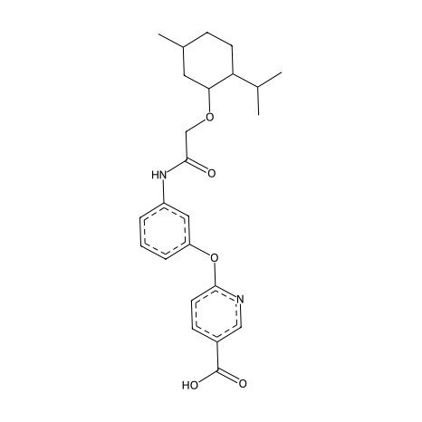 CC1CCC(C(C)C)C(OCC(=O)Nc2cccc(Oc3ccc(C(=O)O)cn3)c2)C1